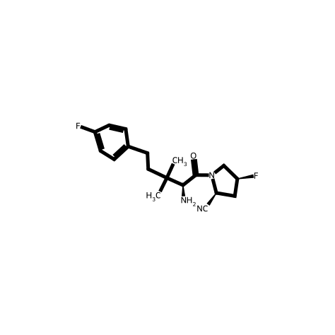 CC(C)(CCc1ccc(F)cc1)[C@H](N)C(=O)N1C[C@@H](F)C[C@H]1C#N